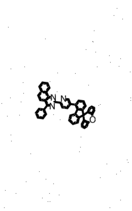 c1ccc(-c2nc(-c3ccc(-c4cccc5c4-c4ccccc4C54c5ccccc5Oc5ccccc54)cn3)nc3c2ccc2ccccc23)cc1